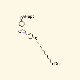 CCCCCCCCCCCCCCCCCCCCCSc1ccc(/C=C/C(=O)c2ccc(OCCCCCCC)cc2)cc1